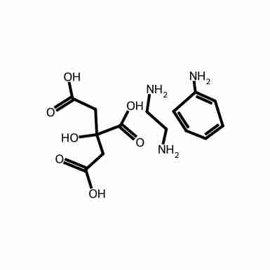 NCCN.Nc1ccccc1.O=C(O)CC(O)(CC(=O)O)C(=O)O